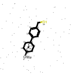 COC12CCC(c3ccc(CS)cc3)(CC1)CC2